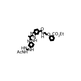 CCOC(=O)c1ccccc1OCCNC(=O)c1ccc2nc(C(C)c3nc4cc(NC(=N)NC(C)=O)ccc4[nH]3)n(C)c2c1